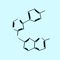 Cl.Oc1ccc2ccc(Nc3cc(-c4ccc(C(F)(F)F)cc4)ncn3)cc2n1